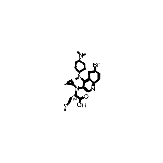 CSCC[C@@H](C(=O)O)N(c1cnc2ccc(Br)cc2c1N(C)[C@H]1CC[C@H](N(C)C)CC1)C1CC1